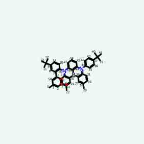 Cc1cc(C)cc(-c2cc(C(C)(C)C)ccc2N2c3ccc(C)cc3B3c4cc(C)ccc4N(c4ccc(C(C)(C)C)cc4)c4cccc2c43)c1